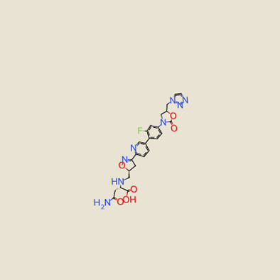 NC(=O)C[C@H](NC[C@@H]1CC(c2ccc(-c3ccc(N4CC(Cn5ccnn5)OC4=O)cc3F)cn2)=NO1)C(=O)O